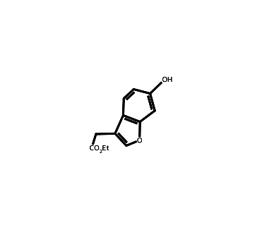 CCOC(=O)Cc1coc2cc(O)ccc12